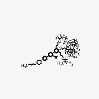 C=C(C)C(=O)OCCCc1cc(-c2ccc(-c3ccc([C@H]4CC[C@H](CCCCC)CC4)cc3)cc2C2CC2)cc(CCCOC(=O)C(=C)C)c1OCCC(CCCC)(CO[Si](C)(C)C(C)(C)C)CO[Si](C)(C)C(C)(C)C